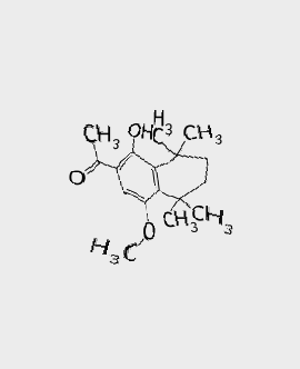 COc1cc(C(C)=O)c(O)c2c1C(C)(C)CCC2(C)C